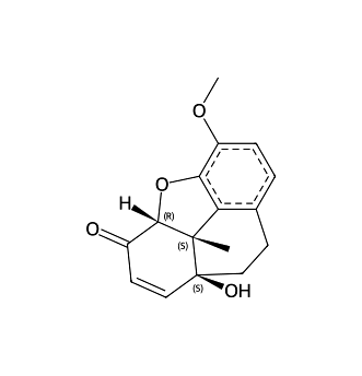 COc1ccc2c3c1O[C@H]1C(=O)C=C[C@@](O)(CC2)[C@@]31C